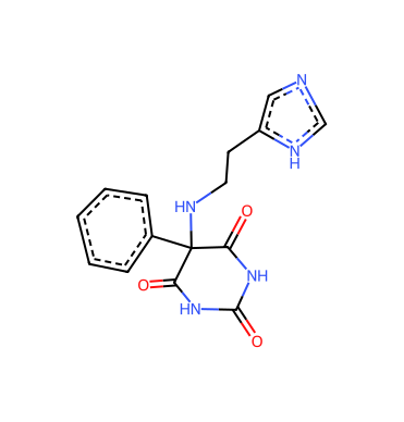 O=C1NC(=O)C(NCCc2cnc[nH]2)(c2ccccc2)C(=O)N1